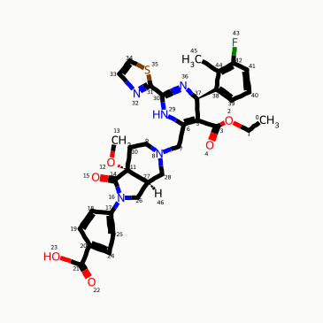 CCOC(=O)C1=C(CN2CC[C@]3(OC)C(=O)N(c4ccc(C(=O)O)cc4)C[C@@H]3C2)NC(c2nccs2)=N[C@H]1c1cccc(F)c1C